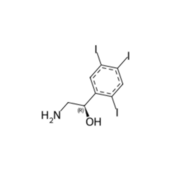 NC[C@H](O)c1cc(I)c(I)cc1I